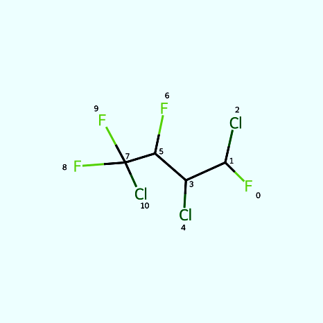 FC(Cl)C(Cl)C(F)C(F)(F)Cl